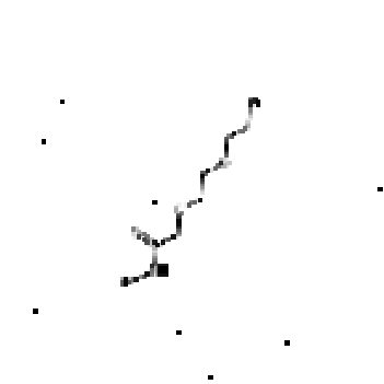 CC(C)CCOCCOCC(=O)NC(C)C